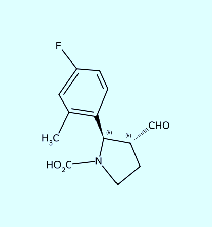 Cc1cc(F)ccc1[C@H]1[C@H](C=O)CCN1C(=O)O